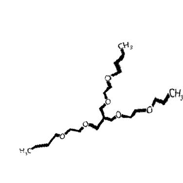 CCCCOCCOCC(COCCOCCC)COCCOCCCC